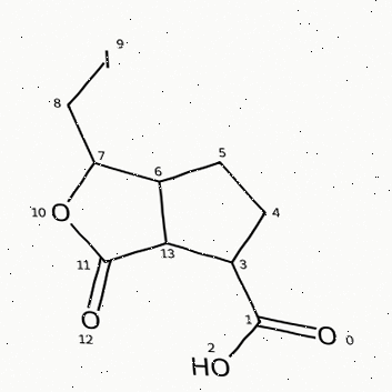 O=C(O)C1CCC2C(CI)OC(=O)C12